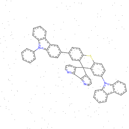 c1ccc(-n2c3ccccc3c3cc(-c4ccc5c(c4)C4(c6cc(-n7c8ccccc8c8ccccc87)ccc6S5)c5cccnc5-c5ncccc54)ccc32)cc1